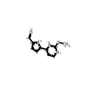 CSc1nccc(-c2ccc(C=O)s2)n1